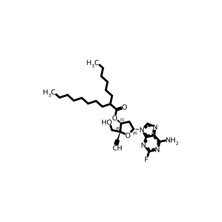 C#C[C@]1(CO)O[C@@H](n2cnc3c(N)nc(F)nc32)C[C@@H]1OC(=O)C(CCCCCC)CCCCCCCC